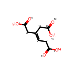 O=C(O)CC=C(CC(=O)O)CC(=O)O